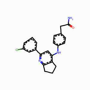 NC(=O)Cc1ccc(Nc2cc(-c3cccc(Cl)c3)nc3c2CCC3)cc1